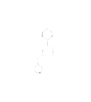 NN[C@H](CNCc1cccs1)c1ccccc1